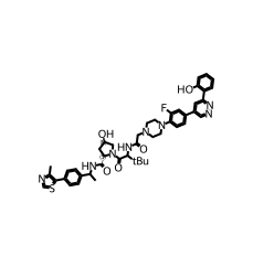 Cc1ncsc1-c1ccc(C(C)NC(=O)[C@@H]2C[C@@H](O)CN2C(=O)C(NC(=O)CN2CCN(c3ccc(-c4cnnc(-c5ccccc5O)c4)cc3F)CC2)C(C)(C)C)cc1